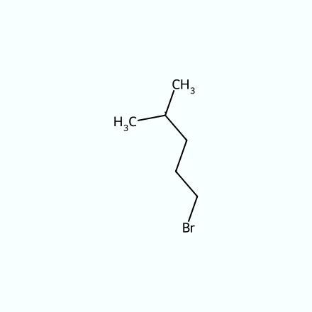 C[C](C)CCCBr